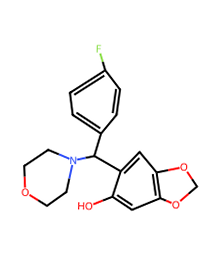 Oc1cc2c(cc1C(c1ccc(F)cc1)N1CCOCC1)OCO2